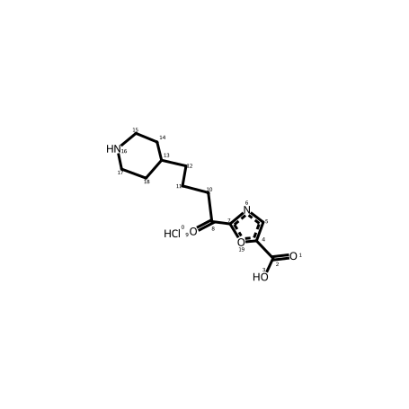 Cl.O=C(O)c1cnc(C(=O)CCCC2CCNCC2)o1